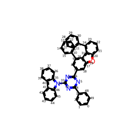 c1ccc(-c2nc(-c3cc(-c4ccccc4)c4c(c3)oc3cccc(-c5ccccc5)c34)nc(-n3c4ccccc4c4ccccc43)n2)cc1